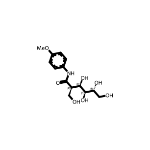 COc1ccc(NC(=O)[C@H](CO)[C@@H](O)[C@H](O)[C@H](O)CO)cc1